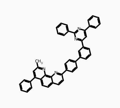 Cc1cc(-c2ccccc2)c2ccc3ccc(-c4ccc(-c5cccc(-c6cc(-c7ccccc7)nc(-c7ccccc7)n6)c5)cc4)nc3c2n1